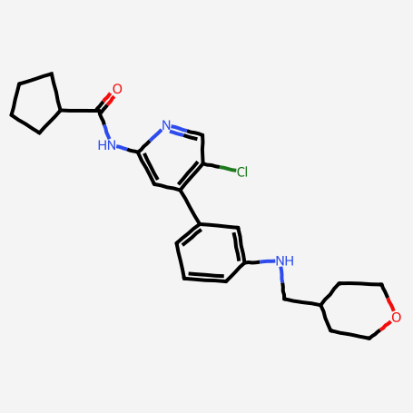 O=C(Nc1cc(-c2cccc(NCC3CCOCC3)c2)c(Cl)cn1)C1CCCC1